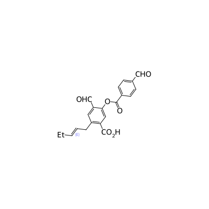 CC/C=C/Cc1cc(C=O)c(OC(=O)c2ccc(C=O)cc2)cc1C(=O)O